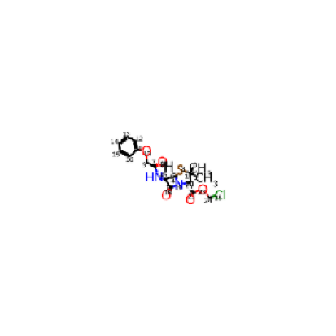 CC1(C)S[C@@H]2C(NC(=O)COc3ccccc3)C(=O)N2[C@H]1C(=O)OCCl